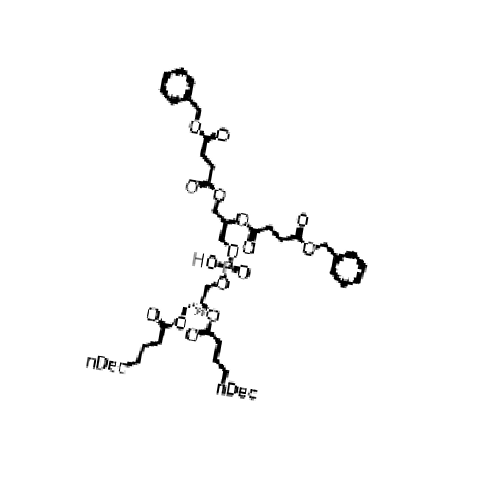 CCCCCCCCCCCCCC(=O)OC[C@H](COP(=O)(O)OCC(COC(=O)CCC(=O)OCc1ccccc1)OC(=O)CCC(=O)OCc1ccccc1)OC(=O)CCCCCCCCCCCCC